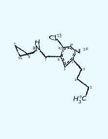 CCCCc1cc(CNC2CC2)c(Cl)cn1